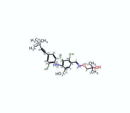 CC(C)(O)CON=Cc1cc(C(=O)O)c(Nc2ccc(C#C[Si](C)(C)C)cc2F)c(F)c1F